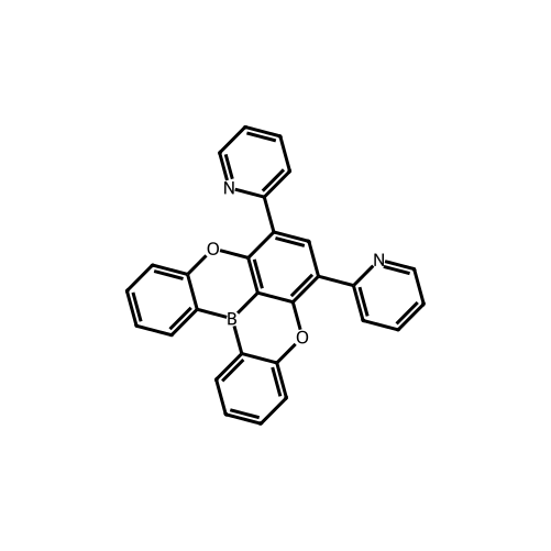 c1ccc(-c2cc(-c3ccccn3)c3c4c2Oc2ccccc2B4c2ccccc2O3)nc1